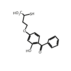 O=C(c1ccccc1)c1ccc(OCCC(S)C(=O)O)cc1O